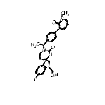 CC(c1ccc(-c2cccn(C)c2=O)cc1)N1CCC(CCCO)(c2ccc(F)cc2)OC1=O